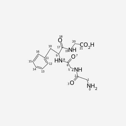 NCC(=O)NCC(=O)NC(Cc1ccccc1)C(=O)NCC(=O)O